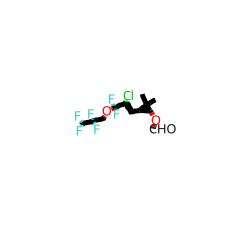 CC1(C)C(C=C(Cl)C(F)(F)OCC(F)(F)C(F)F)C1OC=O